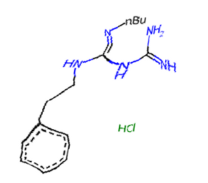 CCCCN=C(NCCc1ccccc1)NC(=N)N.Cl